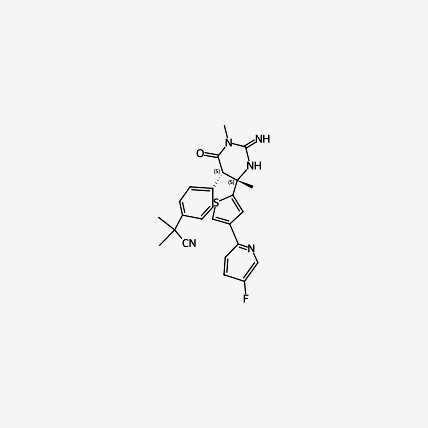 CN1C(=N)N[C@](C)(c2cc(-c3ccc(F)cn3)cs2)[C@H](c2ccc(C(C)(C)C#N)cc2)C1=O